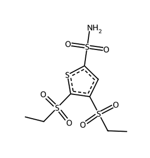 CCS(=O)(=O)c1cc(S(N)(=O)=O)sc1S(=O)(=O)CC